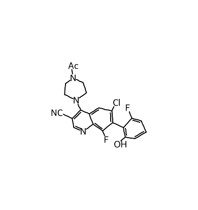 CC(=O)N1CCN(c2c(C#N)cnc3c(F)c(-c4c(O)cccc4F)c(Cl)cc23)CC1